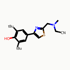 CN(CC#N)Cc1nc(-c2cc(C(C)(C)C)c(O)c(C(C)(C)C)c2)cs1